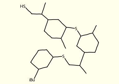 CCC(C)C1CCCC(SCC(C)C2CCC(C)C(SC3CC(C(C)CS)CCC3C)C2)C1